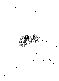 Cc1cc2c(cc1-c1cccc[n+]1C)oc1ccc3ccccc3c12